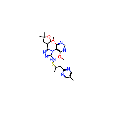 COc1ncnc(OC)c1-n1c(NSC(C)Cc2ncc(C)cn2)nnc1C1COC(C)(C)C1